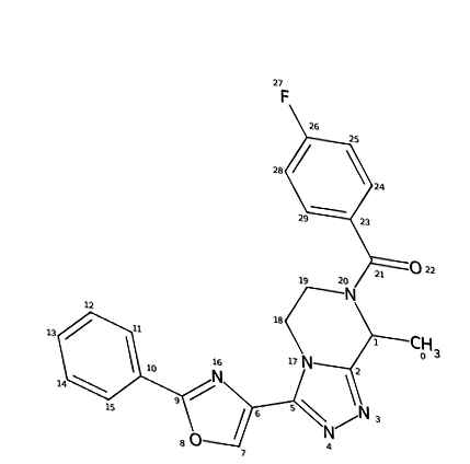 CC1c2nnc(-c3coc(-c4ccccc4)n3)n2CCN1C(=O)c1ccc(F)cc1